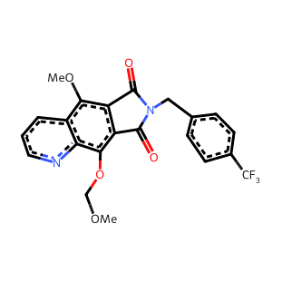 COCOc1c2c(c(OC)c3cccnc13)C(=O)N(Cc1ccc(C(F)(F)F)cc1)C2=O